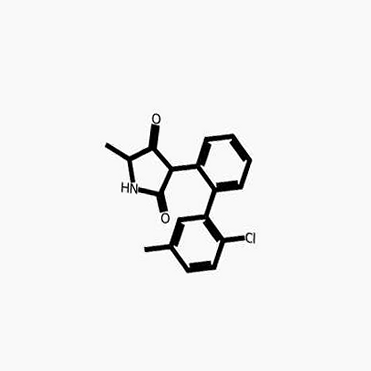 Cc1ccc(Cl)c(-c2ccccc2C2C(=O)NC(C)C2=O)c1